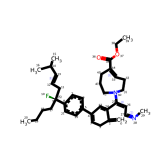 C=C1CC=C(c2ccc([C@@](F)(C/C=C/C(C)C)CCCC)cc2)C=C1/C(=C\C=N/C)N1CC/C=C(\C(=O)OCC)CCC1